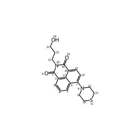 O=C1c2cccc3c(N4CCSCC4)ccc(c23)C(=O)N1CCCO